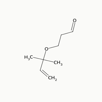 C=CC(C)(C)OCCC=O